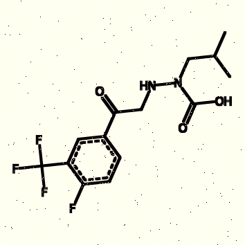 CC(C)CN(NCC(=O)c1ccc(F)c(C(F)(F)F)c1)C(=O)O